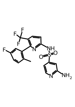 Cc1ccc(F)cc1-c1nc(NS(=O)(=O)c2ccnc(N)c2)ccc1C(F)(F)F